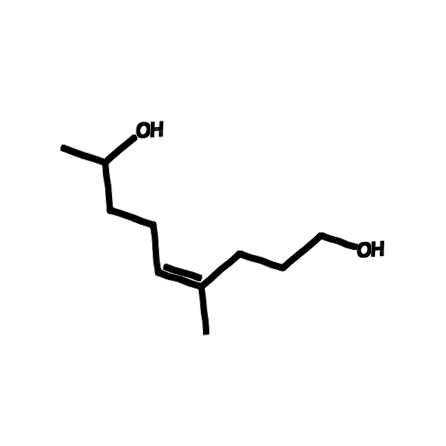 C/C(=C/CCC(C)O)CCCO